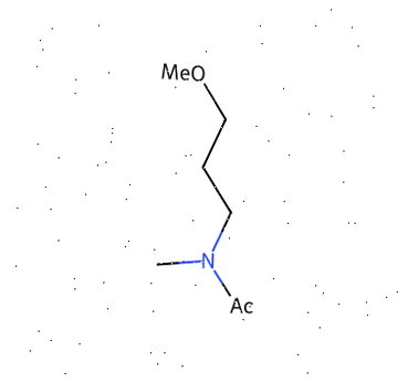 COCCCN(C)C(C)=O